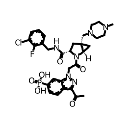 CC(=O)c1nn(CC(=O)N2[C@H](C(=O)NCc3cccc(Cl)c3F)C[C@@]3(CN4CCN(C)CC4)C[C@@H]23)c2cc(P(=O)(O)O)ccc12